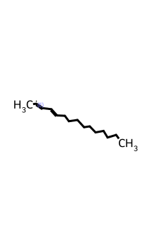 C/[C]=C/C=CCCCCCCCCCC